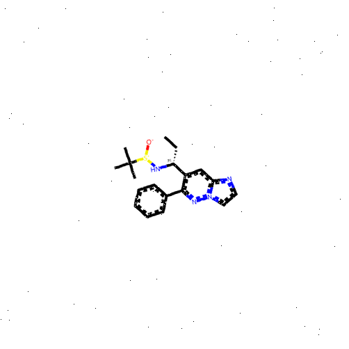 CC[C@@H](N[S+]([O-])C(C)(C)C)c1cc2nccn2nc1-c1ccccc1